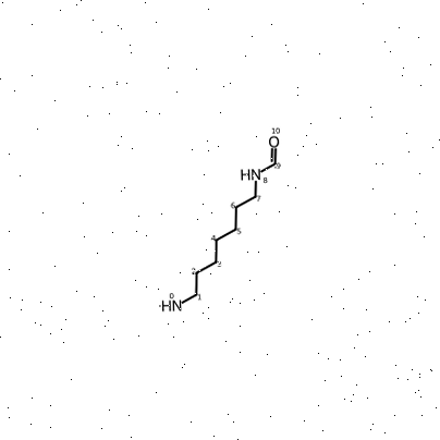 [NH]CCCCCCCN[C]=O